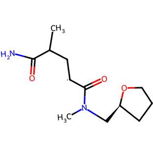 CC(C[CH]C(=O)N(C)C[C@@H]1CCCO1)C(N)=O